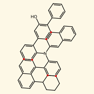 Oc1cc(-c2ccccc2N(c2ccc3ccccc3c2)c2ccccc2-c2cccc3cccc(C4CCCCC4)c23)ccc1-c1ccccc1